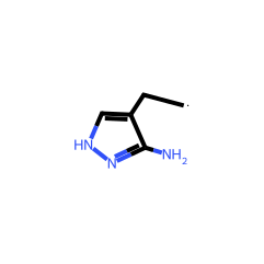 [CH2]Cc1c[nH]nc1N